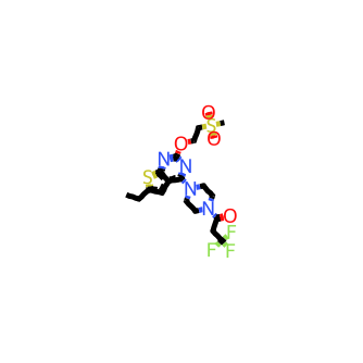 CCc1cc2c(N3CCN(C(=O)CC(F)(F)F)CC3)nc(OCCS(C)(=O)=O)nc2s1